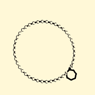 C1CCCCCCCCCCCCCCCCCCCN=C2CCCCCN2CCCCCCCCCCCCCCCCCCC1